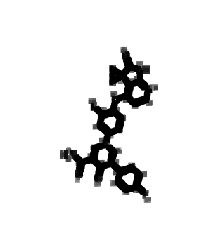 NC(=O)c1cn(-c2ccc(Oc3ccnc4c3C3(CC3)C(=O)N4)c(F)c2)cc(-c2ccc(F)cc2)c1=O